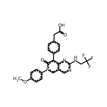 COc1ccc(-n2cc3cnc(NCC(F)(F)F)nc3c(-c3ccc(CC(=O)O)cc3)c2=O)cc1